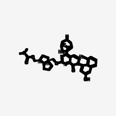 CCc1cccc2cc(O)cc(-n3ncc4c(C5=C6CNCC(C5)NC6)nc(OC[C@]56CCCN5[C@@H](COC(=O)N(C)C)CC6)nc4c3=O)c12